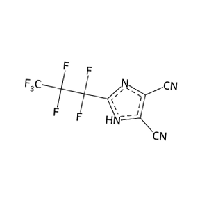 N#Cc1nc(C(F)(F)C(F)(F)C(F)(F)F)[nH]c1C#N